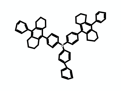 c1ccc(-c2ccc(N(c3ccc(-c4c5c(c(-c6ccccc6)c6c4CCCC6)CCCC5)cc3)c3ccc(-c4c5c(c(-c6ccccc6)c6c4CCCC6)CCCC5)cc3)cc2)cc1